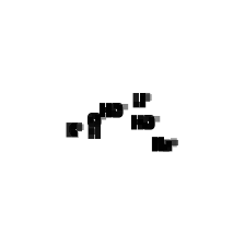 [K+].[Li+].[Na+].[OH-].[OH-].[OH-]